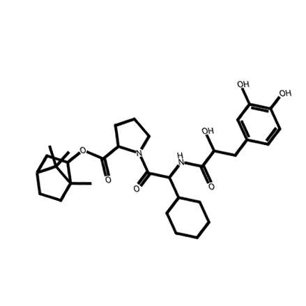 CC1(C)C2CCC1(C)C(OC(=O)C1CCCN1C(=O)C(NC(=O)C(O)Cc1ccc(O)c(O)c1)C1CCCCC1)C2